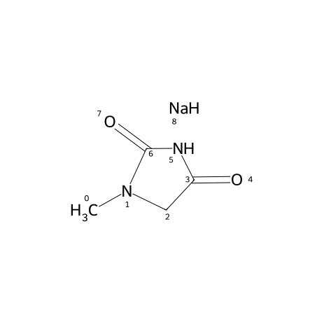 CN1CC(=O)NC1=O.[NaH]